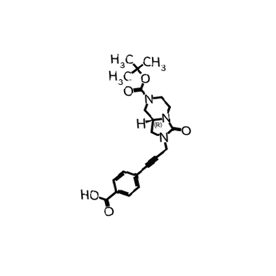 CC(C)(C)OC(=O)N1CCN2C(=O)N(CC#Cc3ccc(C(=O)O)cc3)C[C@@H]2C1